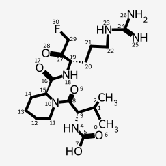 CC(C)[C@H](NC(=O)O)C(=O)N1CCCC[C@H]1C(=O)N[C@@H](CCCNC(=N)N)C(=O)CF